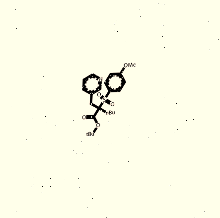 CCCCC(Cc1cccnc1)(C(=O)OC(C)(C)C)S(=O)(=O)c1ccc(OC)cc1